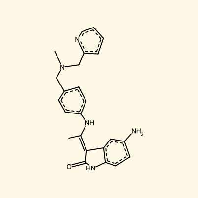 CC(Nc1ccc(CN(C)Cc2ccccn2)cc1)=C1C(=O)Nc2ccc(N)cc21